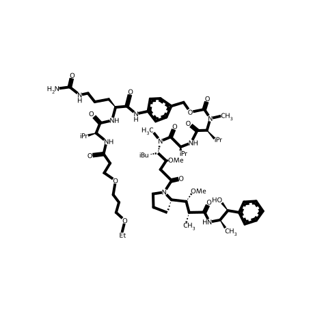 CCOCCCOCCC(=O)N[C@H](C(=O)N[C@@H](CCCNC(N)=O)C(=O)Nc1ccc(COC(=O)N(C)[C@H](C(=O)N[C@H](C(=O)N(C)[C@@H]([C@@H](C)CC)[C@@H](CC(=O)N2CCC[C@H]2[C@H](OC)[C@@H](C)C(=O)N[C@H](C)[C@@H](O)c2ccccc2)OC)C(C)C)C(C)C)cc1)C(C)C